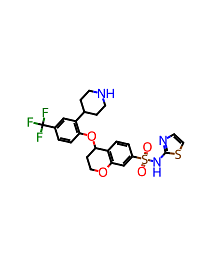 O=S(=O)(Nc1nccs1)c1ccc2c(c1)OCCC2Oc1ccc(C(F)(F)F)cc1C1CCNCC1